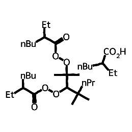 CCCCC(CC)C(=O)O.CCCCC(CC)C(=O)OOC(C(C)(C)CCC)C(C)(C)OOC(=O)C(CC)CCCC